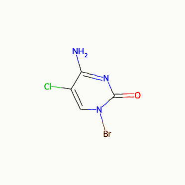 Nc1nc(=O)n(Br)cc1Cl